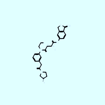 N=C1NCc2cc(NC(=O)[C@H](O)[C@H]3OCCN(c4cccc(CC(=O)N5CC[C@@H](O)C5)c4)C3=O)ccc21